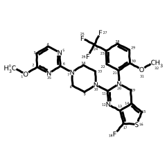 COc1ccnc(N2CCN(C3=Nc4c(csc4F)CN3c3cc(C(F)(F)F)ccc3OC)CC2)n1